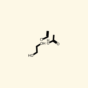 C=CCl.CC(=O)O.OCCO